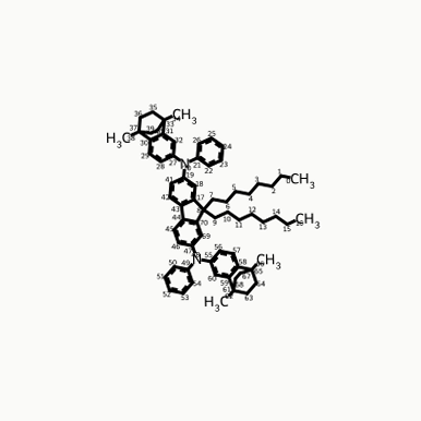 CCCCCCCCC1(CCCCCCCC)c2cc(N(c3ccccc3)c3ccc4c(c3)C3(C)CCC4(C)CC3)ccc2-c2ccc(N(c3ccccc3)c3ccc4c(c3)C3(C)CCC4(C)CC3)cc21